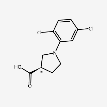 O=C(O)[C@@H]1CCN(c2cc(Cl)ccc2Cl)C1